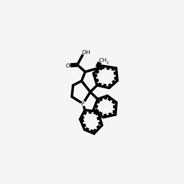 C=CC(C(=O)O)C1CCP(c2ccccc2)C1(c1ccccc1)c1ccccc1